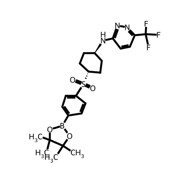 CC1(C)OB(c2ccc(S(=O)(=O)[C@H]3CC[C@H](Nc4ccc(C(F)(F)F)nn4)CC3)cc2)OC1(C)C